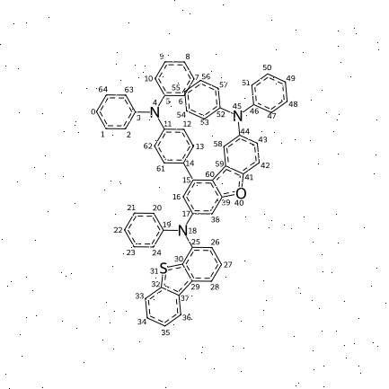 c1ccc(N(c2ccccc2)c2ccc(-c3cc(N(c4ccccc4)c4cccc5c4sc4ccccc45)cc4oc5ccc(N(c6ccccc6)c6ccccc6)cc5c34)cc2)cc1